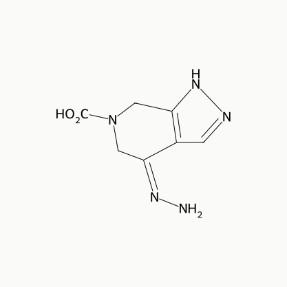 N/N=C1/CN(C(=O)O)Cc2[nH]ncc21